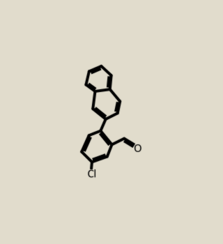 O=Cc1cc(Cl)ccc1-c1ccc2ccccc2c1